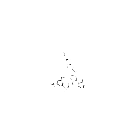 CCOC(=O)CC1CCC(C(=O)N2CCN(C(=O)NC[C@H](C)c3cc(C(F)(F)F)cc(C(F)(F)F)c3)C(c3ccc(F)cc3C)C2)CC1